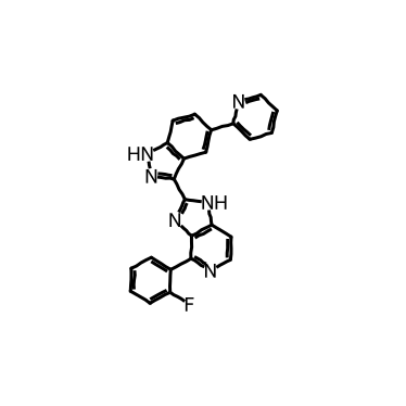 Fc1ccccc1-c1nccc2[nH]c(-c3n[nH]c4ccc(-c5ccccn5)cc34)nc12